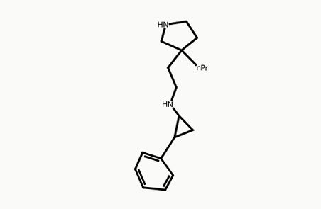 CCCC1(CCNC2CC2c2ccccc2)CCNC1